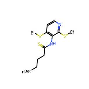 CCCCCCCCCCCCCC(=S)Nc1c(SCC)ccnc1SCC